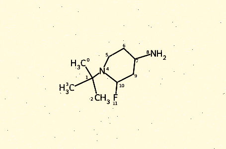 CC(C)(C)N1CCC(N)CC1F